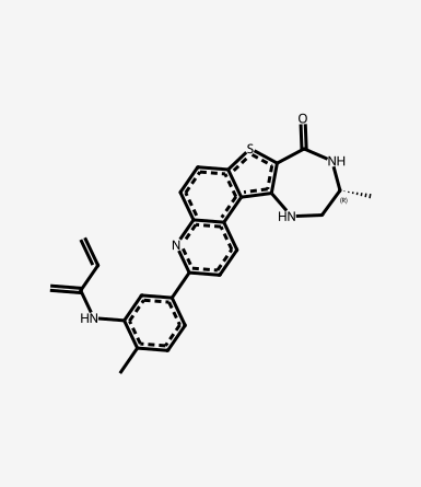 C=CC(=C)Nc1cc(-c2ccc3c(ccc4sc5c(c43)NC[C@@H](C)NC5=O)n2)ccc1C